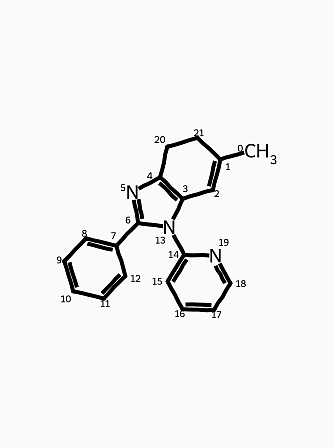 CC1=Cc2c(nc(-c3ccccc3)n2-c2ccccn2)CC1